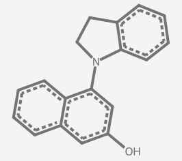 Oc1cc(N2CCc3ccccc32)c2ccccc2c1